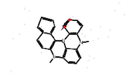 CN1c2cccc3c2B(c2c1ccc1ccccc21)c1c(ccc2ccccc12)N3C